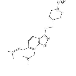 CC(C)=CCc1ccc2c(CCC3CCN(C(=O)O)CC3)noc2c1CN(C)C